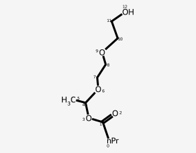 CCCC(=O)OC(C)OCCOCCO